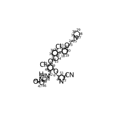 N#Cc1cncc(COc2cc(O[C@H]3CCc4c(-c5cccc(OCCCN6CCCCC6)c5Cl)cccc43)c(Cl)cc2CNC[C@@H]2CCC(=O)N2)c1